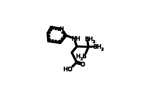 BC(B)(B)C(CC(=O)O)Nc1ccccn1